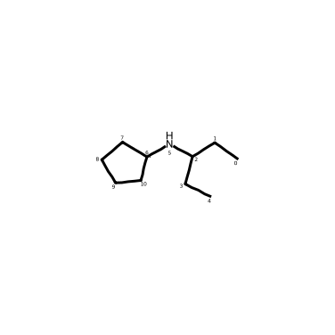 CCC(CC)N[C]1CCCC1